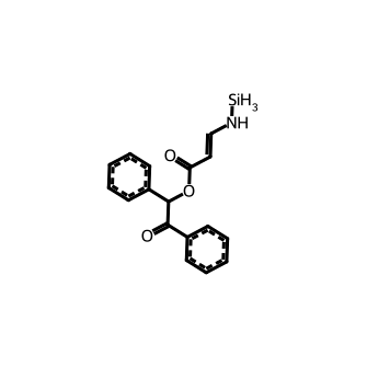 O=C(C=CN[SiH3])OC(C(=O)c1ccccc1)c1ccccc1